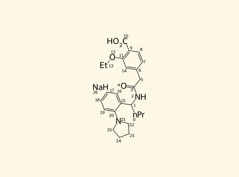 CCCC(NC(=O)Cc1ccc(C(=O)O)c(OCC)c1)c1ccccc1N1CCCC1.[NaH]